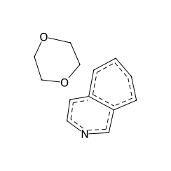 C1COCCO1.c1ccc2cnccc2c1